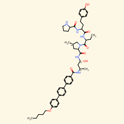 CCCCCOc1ccc(-c2ccc(-c3ccc(C(=O)N[C@H](C)C[C@@H](O)NC(=O)C4C[C@@H](C)CN4C(=O)C(CC)NC(=O)C(CCc4ccc(O)cc4)NC(=O)C4CCCN4)cc3)cc2)cc1